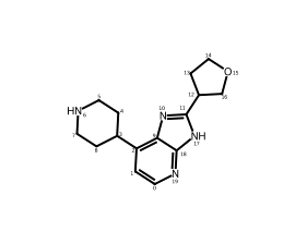 c1cc(C2CCNCC2)c2nc(C3CCOC3)[nH]c2n1